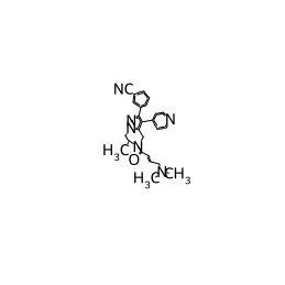 C[C@H]1Cn2nc(-c3cccc(C#N)c3)c(-c3ccncc3)c2CN1C(=O)/C=C/CN(C)C